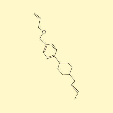 C=CCOCc1ccc(C2CCC(C/C=C/C)CC2)cc1